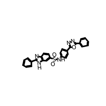 O=S(=O)(Nc1ccc(-c2nnc(-c3ccccc3)o2)cc1)c1ccc2nc(-c3ccccc3)[nH]c2c1